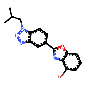 CC(C)Cn1nnc2cc(-c3nc4c(Br)cccc4o3)ccc21